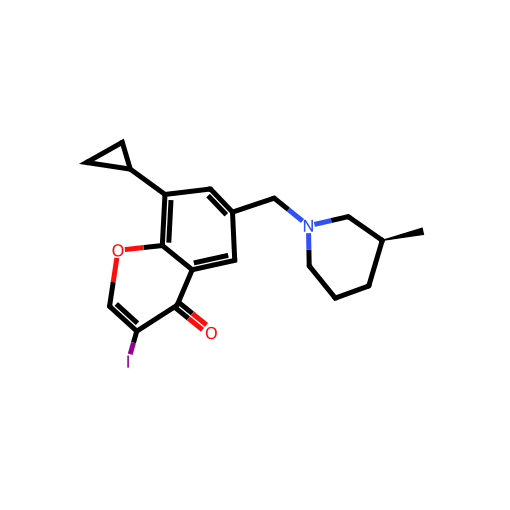 C[C@H]1CCCN(Cc2cc(C3CC3)c3occ(I)c(=O)c3c2)C1